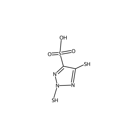 O=S(=O)(O)c1nn(S)nc1S